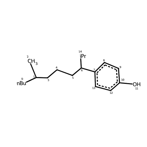 CCCCC(C)CCCC(c1ccc(O)cc1)C(C)C